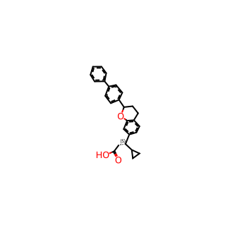 O=C(O)C[C@H](c1ccc2c(c1)OC(c1ccc(-c3ccccc3)cc1)CC2)C1CC1